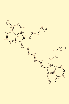 Cc1ccc2c3c(cccc13)C(/C=C/C=C/C=C/C=c1/c3cccc4c(S(=O)(=O)O)ccc(c43)n1CCCC(=O)O)=[N+]2CCCS(=O)(=O)O